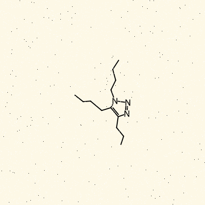 CCCCc1c(CCC)nnn1CCCC